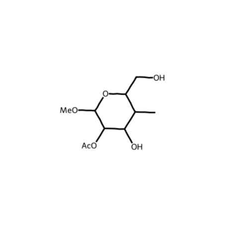 COC1OC(CO)C(C)C(O)C1OC(C)=O